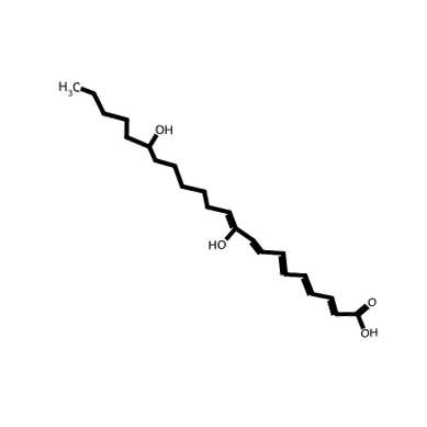 CCCCCC(O)CCCCCC=C(O)C=CC=CC=CC=CC(=O)O